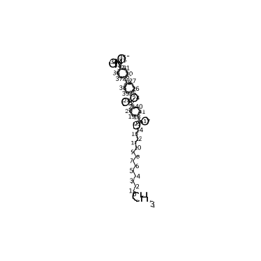 CCCCCCCCCCCCCCCOC(=O)c1ccc(C(=O)Oc2ccc(-c3ccc([N+](=O)[O-])cc3)cc2)cc1